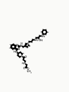 COC(=O)CNCCC(=O)N1CCC(Nc2nc(NCc3cn(CCCNCC(O)CNC4CCCCC4)nn3)nc3ccccc23)CC1